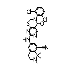 CN1CCc2cc(Nc3ncc4c(n3)SCN(c3c(Cl)cccc3Cl)C4=O)cc(C#N)c2C1(C)C